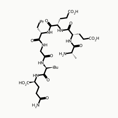 CC[C@H](C)[C@H](NC(=O)CNC(=O)[C@H](CC(C)C)NC(=O)[C@H](CCC(=O)O)NC(=O)[C@H](CCC(=O)O)NC(=O)[C@H](C)N)C(=O)N[C@@H](CCC(N)=O)C(=O)O